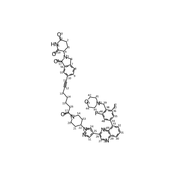 O=C1CCC(N2Cc3ccc(C#CCCCCC(=O)N4CCC(n5cc(-c6cnc7cccc(-c8cc(F)c(CN9CCOCC9)c(F)c8)c7n6)cn5)CC4)cc3C2=O)C(=O)N1